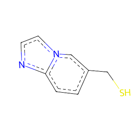 SCc1ccc2nccn2c1